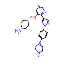 CN1CCN(c2ccc(-n3cc(-c4ncncc4OC[C@H]4CC[C@@H](N)CC4)cn3)cc2)CC1